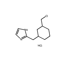 Cl.ClCC1CCCC(Cc2ncc[nH]2)C1